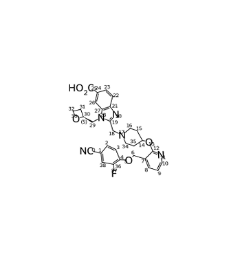 N#Cc1ccc(OCc2cccnc2OC2CCN(Cc3nc4ccc(C(=O)O)cc4n3C[C@@H]3CCO3)CC2)c(F)c1